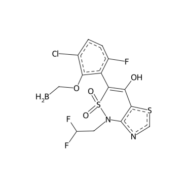 BCOc1c(Cl)ccc(F)c1C1=C(O)c2scnc2N(CC(F)F)S1(=O)=O